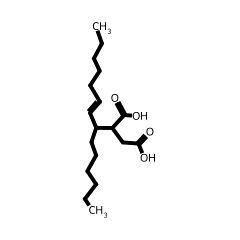 CCCCC/C=C/C(CCCCCC)C(CC(=O)O)C(=O)O